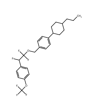 CCCC1CCC(c2ccc(COC(F)(F)C(F)c3ccc(OC(F)(F)F)cc3)cc2)CC1